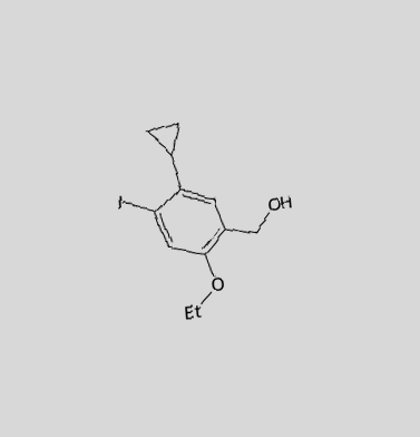 CCOc1cc(I)c(C2CC2)cc1CO